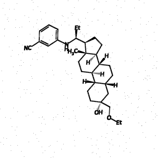 CCOC[C@@]1(O)CC[C@H]2[C@H](CC[C@@H]3[C@@H]2CC[C@]2(C)[C@@H]([C@H](CC)Nc4cccc(C#N)c4)CC[C@@H]32)C1